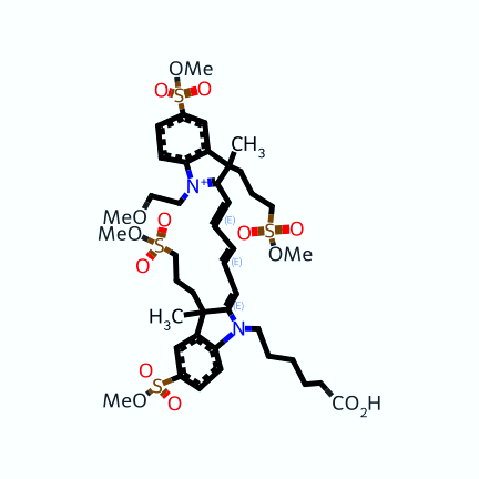 COCC[N+]1=C(/C=C/C=C/C=C2/N(CCCCCC(=O)O)c3ccc(S(=O)(=O)OC)cc3C2(C)CCCS(=O)(=O)OC)C(C)(CCCS(=O)(=O)OC)c2cc(S(=O)(=O)OC)ccc21